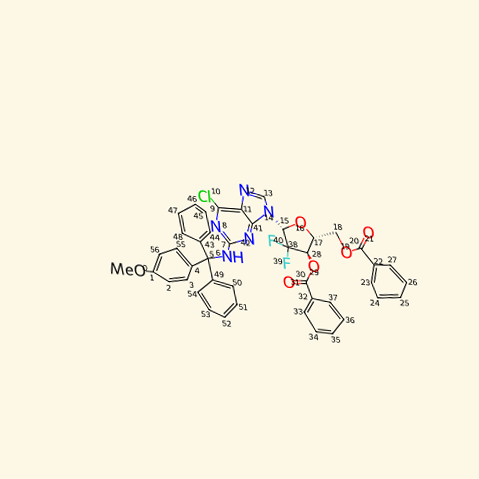 COc1ccc(C(Nc2nc(Cl)c3ncn([C@@H]4O[C@H](COC(=O)c5ccccc5)[C@@H](OC(=O)c5ccccc5)C4(F)F)c3n2)(c2ccccc2)c2ccccc2)cc1